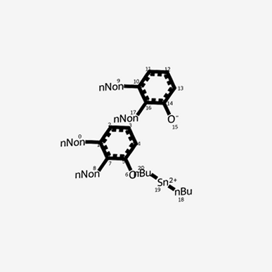 CCCCCCCCCc1cccc([O-])c1CCCCCCCCC.CCCCCCCCCc1cccc([O-])c1CCCCCCCCC.CCC[CH2][Sn+2][CH2]CCC